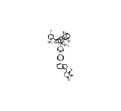 Nc1nnc(-c2cc(F)ccc2O)cc1N1C[C@H]2CC[C@@H](C1)N2c1nccc(C2CCN([C@H]3CC[C@@H](c4cccc5c4CCN5C4CCC(=O)NC4=O)CC3)CC2)n1